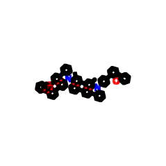 Cc1cc(-c2ccc(N(c3ccc(-c4cccc5c4oc4ccccc45)cc3)c3ccccc3-c3ccc(-c4ccccc4)cc3)c(C)c2)ccc1N(c1ccc(-c2cccc3c2oc2ccccc23)cc1)c1ccccc1-c1ccc(-c2ccccc2)cc1